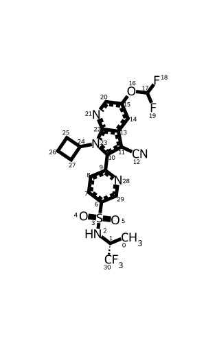 C[C@@H](NS(=O)(=O)c1ccc(-c2c(C#N)c3cc(OC(F)F)cnc3n2C2CCC2)nc1)C(F)(F)F